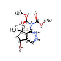 CC(C)(C)OC(=O)N(C(=O)OC(C)(C)C)c1nncc2c1C(C)(C)CC2Br